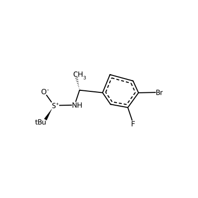 C[C@@H](N[S@+]([O-])C(C)(C)C)c1ccc(Br)c(F)c1